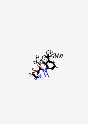 CSC(C)(C)c1cccc(NC(=O)c2nccs2)c1C